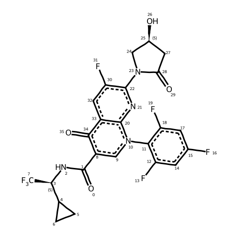 O=C(N[C@@H](C1CC1)C(F)(F)F)c1cn(-c2c(F)cc(F)cc2F)c2nc(N3C[C@@H](O)CC3=O)c(F)cc2c1=O